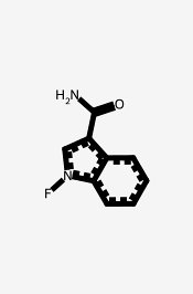 NC(=O)c1cn(F)c2ccccc12